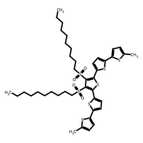 CCCCCCCCCCS(=O)(=O)c1c(-c2ccc(-c3ccc(C)s3)s2)sc(-c2ccc(-c3ccc(C)s3)s2)c1S(=O)(=O)CCCCCCCCCC